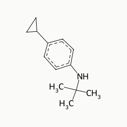 CC(C)(C)Nc1ccc(C2CC2)cc1